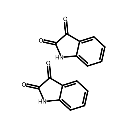 O=C1Nc2ccccc2C1=O.O=C1Nc2ccccc2C1=O